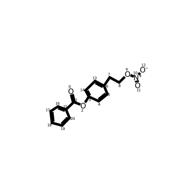 O=C(Oc1ccc(CCO[N+](=O)[O-])cc1)c1ccccc1